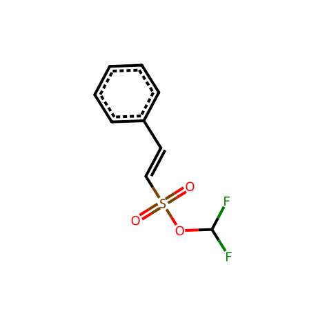 O=S(=O)(C=Cc1ccccc1)OC(F)F